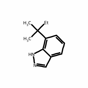 CCC(C)(C)c1cccc2cn[nH]c12